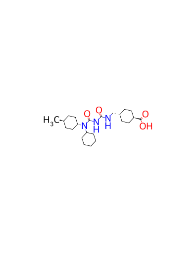 C[C@H]1CC[C@H](N(C(=O)NC(=O)NC[C@H]2CC[C@H](C(=O)O)CC2)C2CCCCC2)CC1